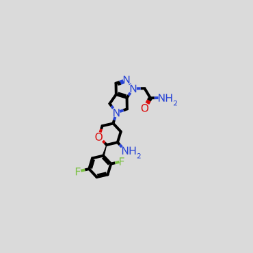 NC(=O)Cn1ncc2c1CN(C1CO[C@H](c3cc(F)ccc3F)C(N)C1)C2